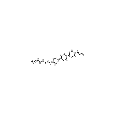 C=CC1CCC(C2CCC(c3ccc(COCCC=CC)cc3)CC2)CC1